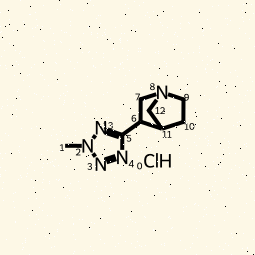 Cl.Cn1nnc(C2CN3CCC2C3)n1